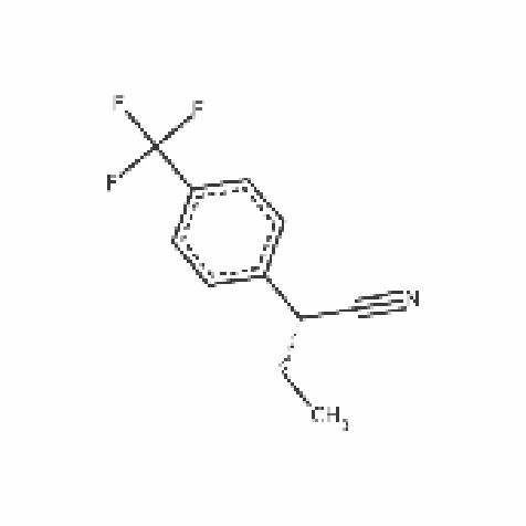 CC[C@@H](C#N)c1ccc(C(F)(F)F)cc1